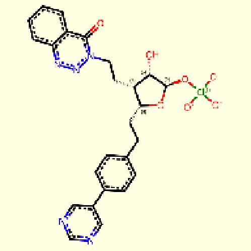 O=c1c2ccccc2nnn1CC[C@@H]1[C@H](O)[C@@H](O[Cl+3]([O-])([O-])[O-])O[C@@H]1CCc1ccc(-c2cncnc2)cc1